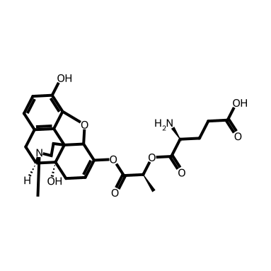 C[C@H](OC(=O)[C@@H](N)CCC(=O)O)C(=O)OC1=CC[C@@]2(O)[C@H]3Cc4ccc(O)c5c4C2(CCN3C)C1O5